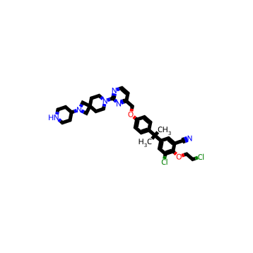 CC(C)(c1ccc(OCc2ccnc(N3CCC4(CC3)CN(C3CCNCC3)C4)n2)cc1)c1cc(Cl)c(OCCCl)c(C#N)c1